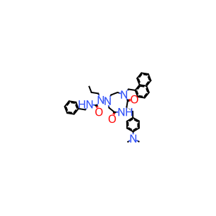 CCCN(C(=O)NCc1ccccc1)N1CCN(Cc2cccc3ccccc23)C(=O)[C@H](Cc2ccc(N(C)C)cc2)NC(=O)C1